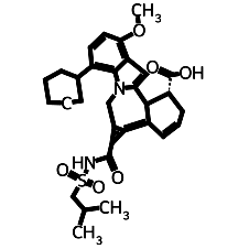 COc1ccc(C2CCCCC2)c2c1cc1n2CC2=C(C(=O)NS(=O)(=O)CC(C)C)C2=C2C=CC[C@@H](C(=O)O)C21